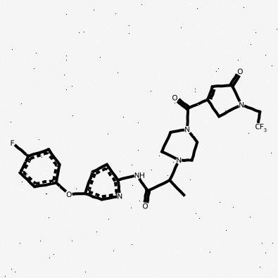 CC(C(=O)Nc1ccc(Oc2ccc(F)cc2)cn1)N1CCN(C(=O)C2=CC(=O)N(CC(F)(F)F)C2)CC1